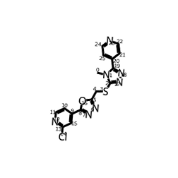 Cn1c(SCc2nnc(-c3ccnc(Cl)c3)o2)nnc1-c1ccncc1